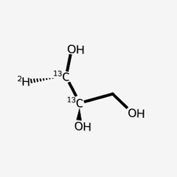 [2H][13C@H](O)[13C@H](O)CO